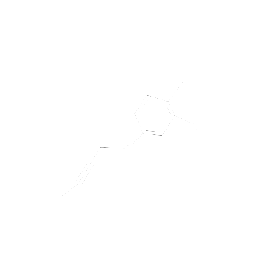 CC#CCOc1ccc(C)c(Cl)c1